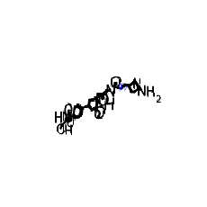 COc1cc(-c2ccc(S(=O)(=O)NCCO)cc2)cc2cc(CNC(=O)/C=C/c3ccc(N)nc3)oc12